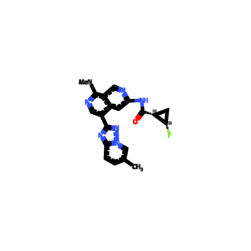 CNc1ncc(-c2nc3ccc(C)cn3n2)c2cc(NC(=O)[C@@H]3C[C@@H]3F)ncc12